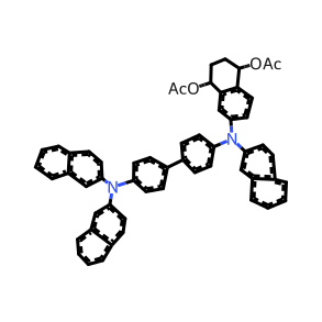 CC(=O)OC1CCC(OC(C)=O)c2cc(N(c3ccc(-c4ccc(N(c5ccc6ccccc6c5)c5ccc6ccccc6c5)cc4)cc3)c3ccc4ccccc4c3)ccc21